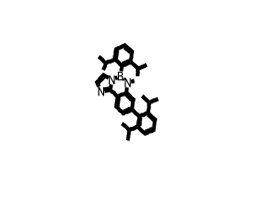 CC(C)c1cccc(C(C)C)c1B1N(C)c2cc(-c3c(C(C)C)cccc3C(C)C)ccc2-c2nccn21